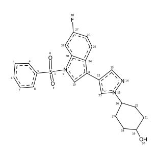 O=S(=O)(c1ccccc1)n1cc(-c2cnn(C3CCC(O)CC3)c2)c2ccc(F)cc21